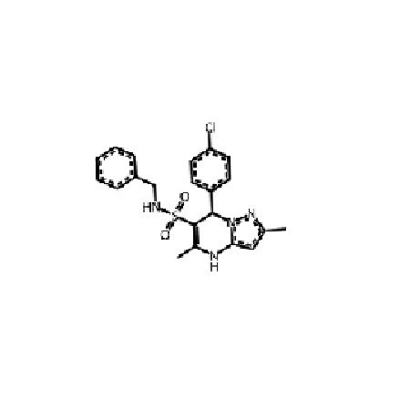 CC1=C(S(=O)(=O)NCc2ccccc2)C(c2ccc(Cl)cc2)n2nc(C)cc2N1